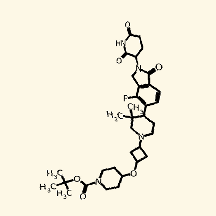 CC(C)(C)OC(=O)N1CCC(OC2CC(N3CCC(c4ccc5c(c4F)CN(C4CCC(=O)NC4=O)C5=O)C(C)(C)C3)C2)CC1